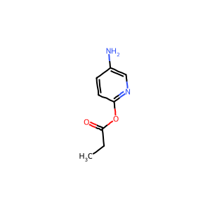 CCC(=O)Oc1ccc(N)cn1